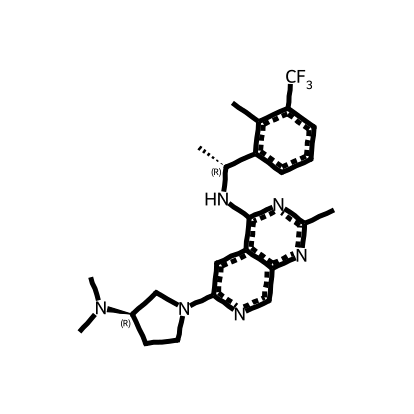 Cc1nc(N[C@H](C)c2cccc(C(F)(F)F)c2C)c2cc(N3CC[C@@H](N(C)C)C3)ncc2n1